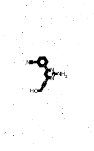 N#Cc1cccc(-c2cc(C#CCO)nc(N)n2)c1